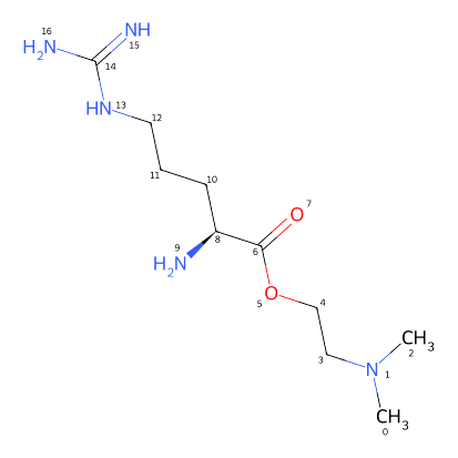 CN(C)CCOC(=O)[C@@H](N)CCCNC(=N)N